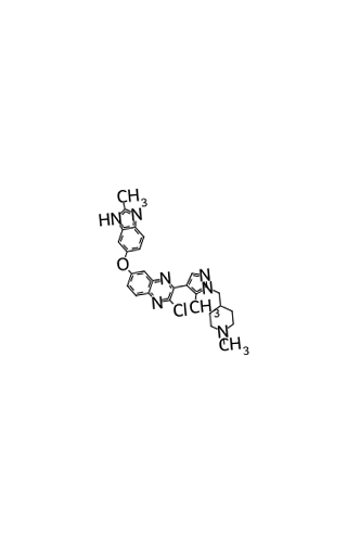 Cc1nc2ccc(Oc3ccc4nc(Cl)c(-c5cnn(CC6CCN(C)CC6)c5C)nc4c3)cc2[nH]1